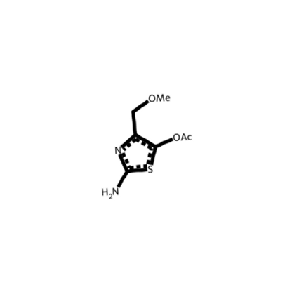 COCc1nc(N)sc1OC(C)=O